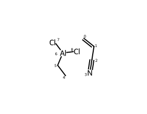 C=CC#N.C[CH2][Al]([Cl])[Cl]